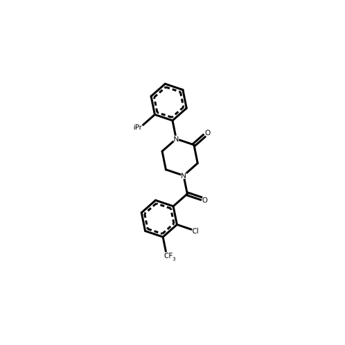 CC(C)c1ccccc1N1CCN(C(=O)c2cccc(C(F)(F)F)c2Cl)CC1=O